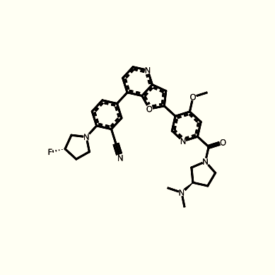 COc1cc(C(=O)N2CC[C@@H](N(C)C)C2)ncc1-c1cc2nccc(-c3ccc(N4CC[C@H](F)C4)c(C#N)c3)c2o1